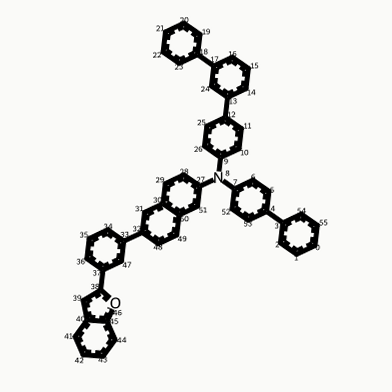 c1ccc(-c2ccc(N(c3ccc(-c4cccc(-c5ccccc5)c4)cc3)c3ccc4cc(-c5cccc(-c6cc7ccccc7o6)c5)ccc4c3)cc2)cc1